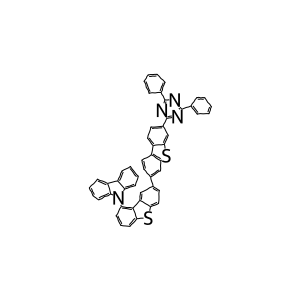 c1ccc(-c2nc(-c3ccccc3)nc(-c3ccc4c(c3)sc3cc(-c5ccc6sc7cccc(-n8c9ccccc9c9ccccc98)c7c6c5)ccc34)n2)cc1